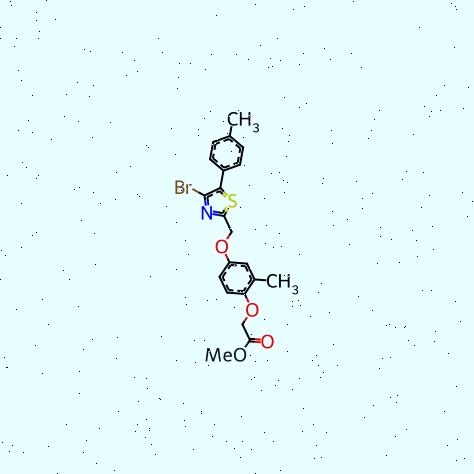 COC(=O)COc1ccc(OCc2nc(Br)c(-c3ccc(C)cc3)s2)cc1C